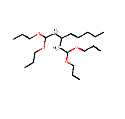 CCCCCC([SiH2]C(OCCC)OCCC)[SiH2]C(OCCC)OCCC